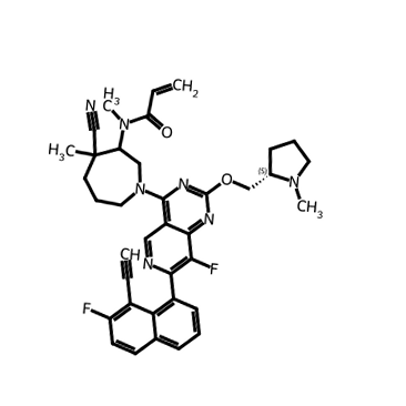 C#Cc1c(F)ccc2cccc(-c3ncc4c(N5CCCC(C)(C#N)C(N(C)C(=O)C=C)C5)nc(OC[C@@H]5CCCN5C)nc4c3F)c12